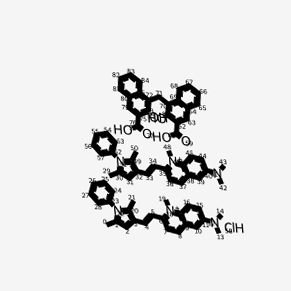 Cc1cc(/C=C/c2ccc3cc(N(C)C)ccc3[n+]2C)c(C)n1-c1ccccc1.Cc1cc(/C=C/c2ccc3cc(N(C)C)ccc3[n+]2C)c(C)n1-c1ccccc1.Cl.O=C(O)c1cc2ccccc2c(Cc2c(O)c(C(=O)O)cc3ccccc23)c1O